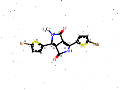 CN1C(=O)C2=C(c3ccc(Br)s3)NC(=O)C2=C1c1ccc(Br)s1